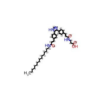 CCCCCCCCCCCCCCCCNC(=O)C=Cc1ccc(-c2[nH]cnc2-c2ccc(C=CC(=O)NCCC(=O)O)cc2)cc1